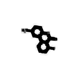 Nc1ccc2oc(=O)c3c(F)cccc3c2c1